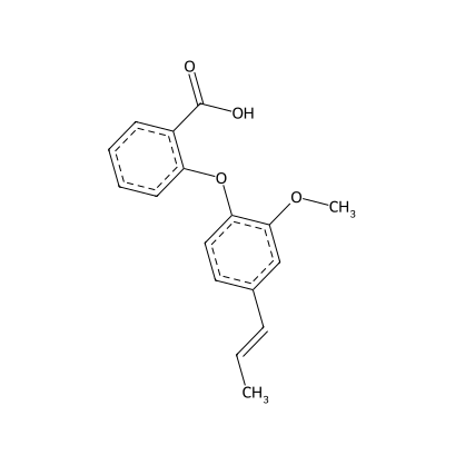 CC=Cc1ccc(Oc2ccccc2C(=O)O)c(OC)c1